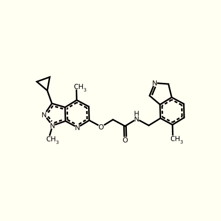 Cc1ccc2c(c1CNC(=O)COc1cc(C)c3c(C4CC4)nn(C)c3n1)C=NC2